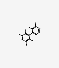 Cc1[c]ccc(-c2c(C)c(C)[c]c(C)c2C)c1C